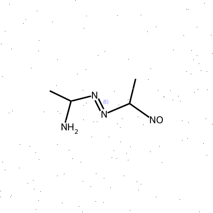 CC(N)/N=N/C(C)N=O